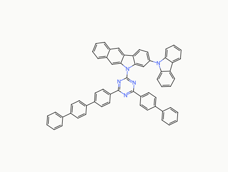 c1ccc(-c2ccc(-c3ccc(-c4nc(-c5ccc(-c6ccccc6)cc5)nc(-n5c6cc(-n7c8ccccc8c8ccccc87)ccc6c6cc7ccccc7cc65)n4)cc3)cc2)cc1